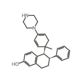 CC1([C@@H]2c3ccc(O)cc3CC[C@@H]2c2ccccc2)C=CC(N2CCNCC2)=CC1